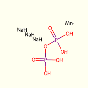 O=P(O)(O)OP(=O)(O)O.[Mn].[NaH].[NaH].[NaH]